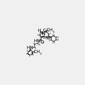 Cc1ccccc1NCCCNC(=O)c1cnn2c1NC(C1CCCCC1)CC2(C)C